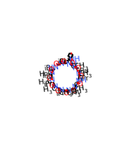 CC[C@H](C)[C@@H]1NC(=O)[C@H](C(C)C)N(C)C(=O)[C@H](Cc2c[nH]c3ccccc23)NC(=O)CN(C)C(=O)[C@H]([C@@H](C)CC)N(C)C(=O)[C@H](C(C)C)NC(=O)CN(C)C(=O)[C@H]([C@@H](C)CC)N(C)C(=O)[C@H](C(C)C)N(C)C(=O)CN(C)C(=O)[C@H](C(C)C)N(C)C(=O)[C@H](C(C)C)N(C)C1=O